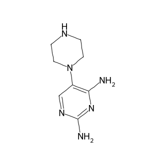 Nc1ncc(N2CCNCC2)c(N)n1